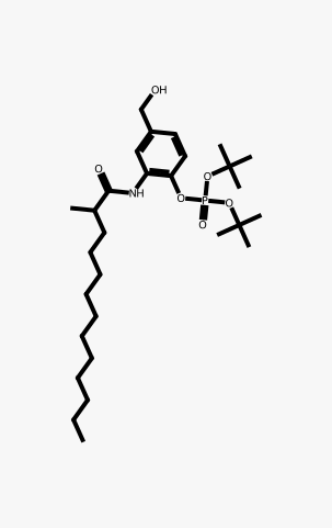 CCCCCCCCCCCC(C)C(=O)Nc1cc(CO)ccc1OP(=O)(OC(C)(C)C)OC(C)(C)C